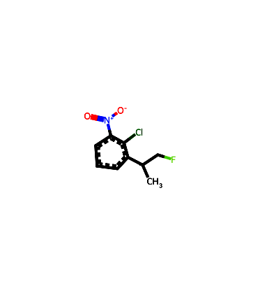 C[C](CF)c1cccc([N+](=O)[O-])c1Cl